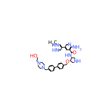 CN/C=C(\C=N)c1cnc(N)c(C(=O)N[C@H]2CNC[C@@H]2OCc2ccc(-c3ccc(CN4CCN(CCO)CC4)cc3)cc2)c1